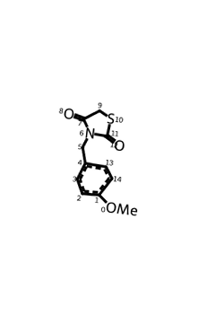 COc1ccc(CN2C(=O)CSC2=O)cc1